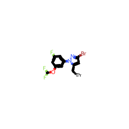 CC(C)Cc1cc(Br)nn1-c1cc(F)cc(OC(F)F)c1